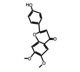 COc1cc2oc(-c3ccc(O)cc3)cc(=O)c2cc1OC